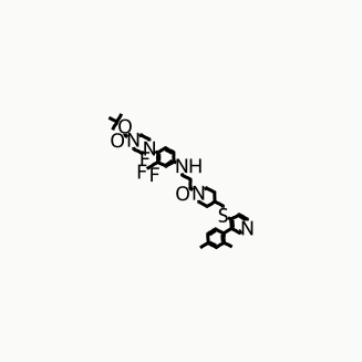 Cc1ccc(-c2cnccc2SCC2CCN(C(=O)CCNc3ccc(N4CCN(C(=O)OC(C)(C)C)CC4)c(C(F)(F)F)c3)CC2)c(C)c1